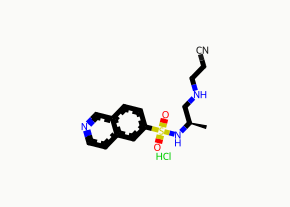 C[C@H](CNCCC#N)NS(=O)(=O)c1ccc2cnccc2c1.Cl